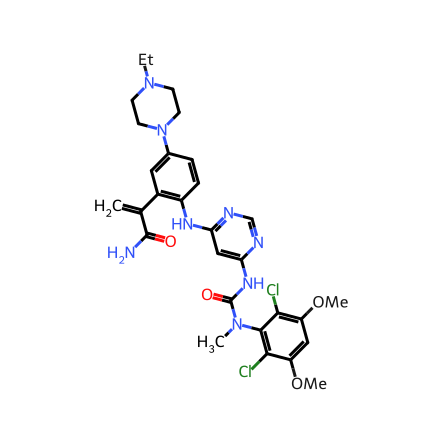 C=C(C(N)=O)c1cc(N2CCN(CC)CC2)ccc1Nc1cc(NC(=O)N(C)c2c(Cl)c(OC)cc(OC)c2Cl)ncn1